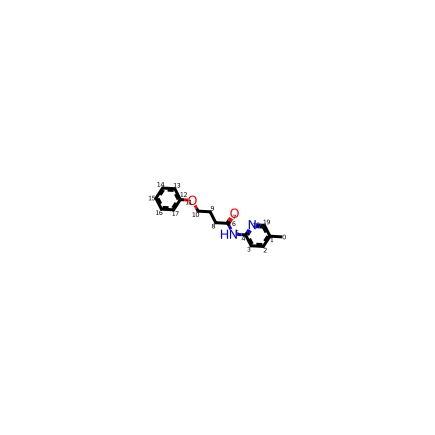 Cc1ccc(NC(=O)CCCOc2ccccc2)nc1